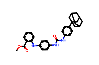 COC(=O)c1ccccc1Nc1ccc(NC(=O)Nc2ccc(C34CC5CC(CC(C5)C3)C4)cc2)cc1